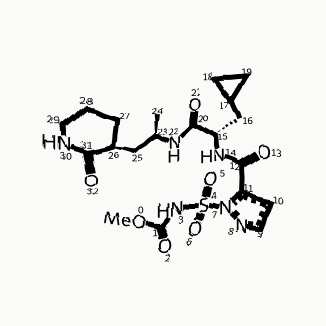 COC(=O)NS(=O)(=O)n1nccc1C(=O)N[C@@H](CC1CC1)C(=O)N[C@H](C)C[C@@H]1CCCNC1=O